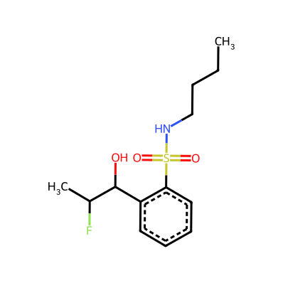 CCCCNS(=O)(=O)c1ccccc1C(O)C(C)F